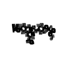 CCOC(=O)C(C)(C)Oc1ccc(CCN(Cc2ccc(OC(F)(F)F)cc2)c2ccc(C(C)=O)cn2)cc1